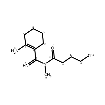 CN(C(=N)C1=C(N)CCCC1)C(=O)CCCCl